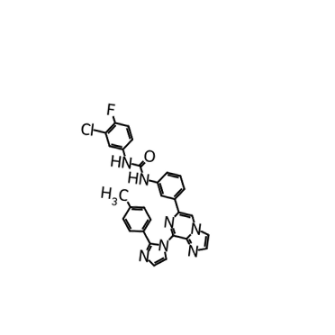 Cc1ccc(-c2nccn2-c2nc(-c3cccc(NC(=O)Nc4ccc(F)c(Cl)c4)c3)cn3ccnc23)cc1